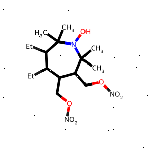 CCC1C(CO[N+](=O)[O-])C(CO[N+](=O)[O-])C(C)(C)N(O)C(C)(C)C1CC